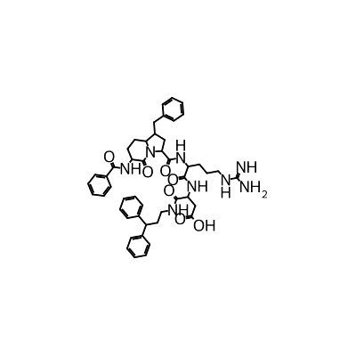 N=C(N)NCCCC(NC(=O)C1CC(Cc2ccccc2)C2CCC(NC(=O)c3ccccc3)C(=O)N12)C(=O)NC(CC(=O)O)C(=O)NCCC(c1ccccc1)c1ccccc1